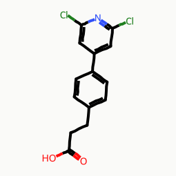 O=C(O)CCc1ccc(-c2cc(Cl)nc(Cl)c2)cc1